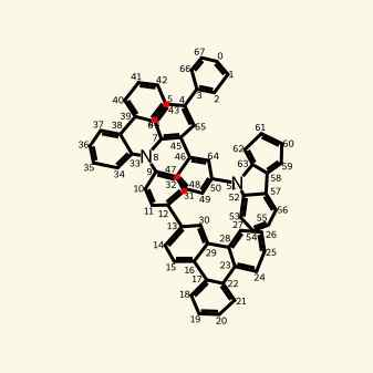 c1ccc(-c2ccc(N(c3ccc(-c4ccc5c6ccccc6c6ccccc6c5c4)cc3)c3ccccc3-c3ccccc3)c(-c3cccc(-n4c5ccccc5c5ccccc54)c3)c2)cc1